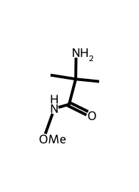 CONC(=O)C(C)(C)N